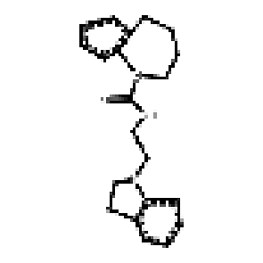 O=C(NCCN1CCc2ccccc21)N1CCCCc2ccccc21